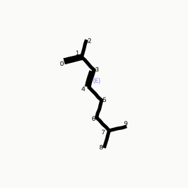 [CH]=C(C)/C=C/CCC(C)C